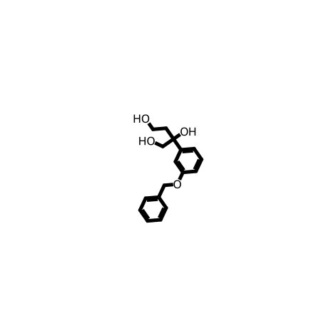 OCCC(O)(CO)c1cccc(OCc2ccccc2)c1